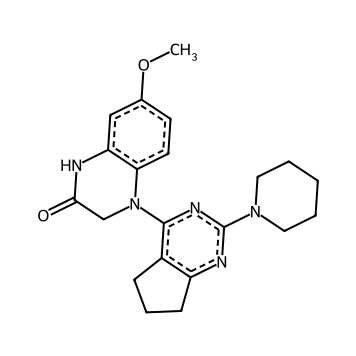 COc1ccc2c(c1)NC(=O)CN2c1nc(N2CCCCC2)nc2c1CCC2